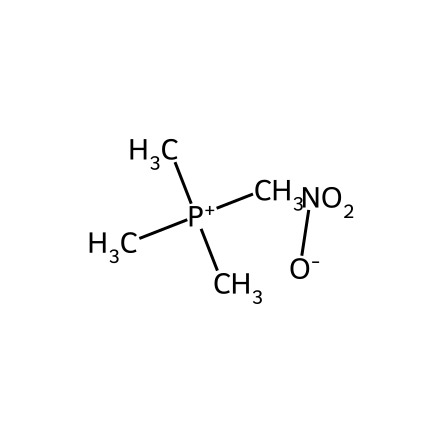 C[P+](C)(C)C.O=[N+]([O-])[O-]